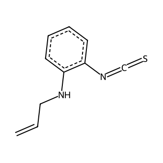 C=CCNc1ccccc1N=C=S